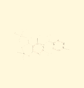 Cc1ccc([C@@H](O)c2c(C(C)C)nc3c(c2I)C(O[Si](C)(C)C(C)(C)C)CC(C)(C)C3)cc1